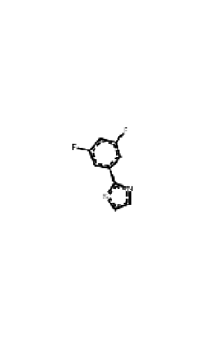 Fc1cc(F)cc(-c2nc[c]s2)c1